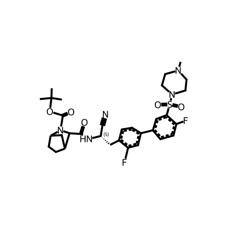 CN1CCN(S(=O)(=O)c2cc(-c3ccc(C[C@@H](C#N)NC(=O)C4C5CCC(C5)N4C(=O)OC(C)(C)C)c(F)c3)ccc2F)CC1